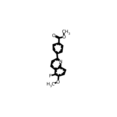 COC(=O)c1ccc(-c2ccc3c(F)c(OC)ccc3n2)cc1